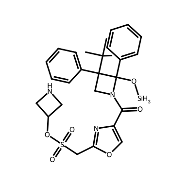 CC(C)(C)C1(c2ccccc2)CN(C(=O)c2coc(CS(=O)(=O)OC3CNC3)n2)C1(O[SiH3])c1ccccc1